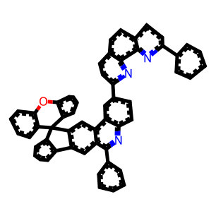 c1ccc(-c2ccc3ccc4ccc(-c5ccc6nc(-c7ccccc7)c7cc8c(cc7c6c5)C5(c6ccccc6Oc6ccccc65)c5ccccc5-8)nc4c3n2)cc1